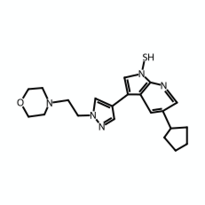 Sn1cc(-c2cnn(CCN3CCOCC3)c2)c2cc(C3CCCC3)cnc21